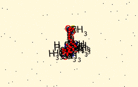 CC[C@H](C)[C@@H]([C@@H](CC(=O)N1CCC[C@H]1[C@H](OC)[C@@H](C)C(=O)N[C@H](C)[C@@H](C)c1ccccc1)OC)N(C)C(=O)[C@@H](NC(=O)C(C(C)C)N(C)C(=O)OCc1ccc(CC(=O)CCCCCN2C(=O)CC(SC)C2=O)cc1)C(C)C